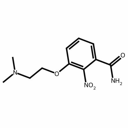 CN(C)CCOc1cccc(C(N)=O)c1[N+](=O)[O-]